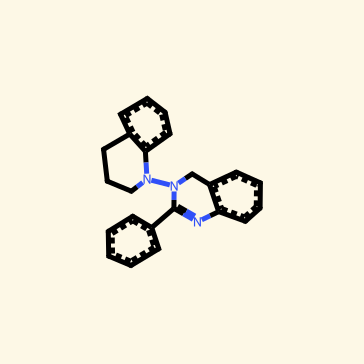 c1ccc(C2=Nc3ccccc3CN2N2CCCc3ccccc32)cc1